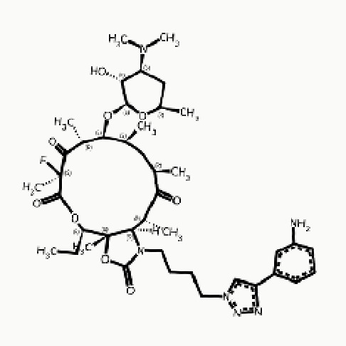 CC[C@H]1OC(=O)[C@@](C)(F)C(=O)[C@H](C)[C@@H](O[C@@H]2O[C@H](C)C[C@H](N(C)C)[C@H]2O)[C@@H](C)C[C@@H](C)C(=O)[C@H](C)[C@H]2N(CCCCn3cc(-c4cccc(N)c4)nn3)C(=O)O[C@]12C